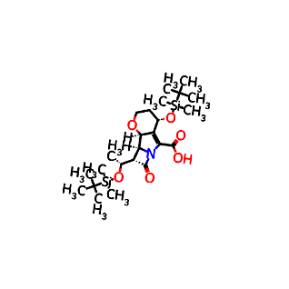 C[C@@H](O[Si](C)(C)C(C)(C)C)[C@H]1C(=O)N2C(C(=O)O)=C3[C@@H](O[Si](C)(C)C(C)(C)C)CCO[C@@H]3[C@H]12